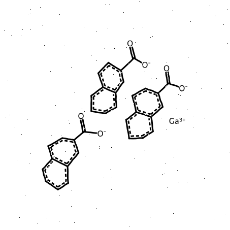 O=C([O-])c1ccc2ccccc2c1.O=C([O-])c1ccc2ccccc2c1.O=C([O-])c1ccc2ccccc2c1.[Ga+3]